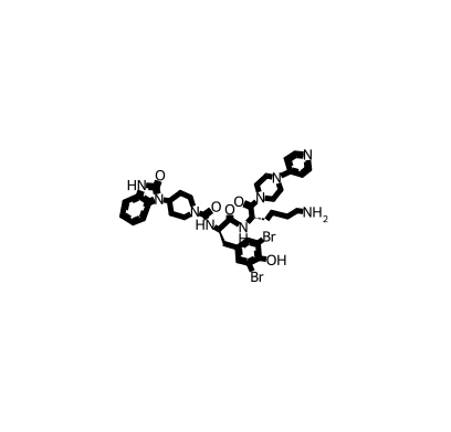 NCCCC[C@H](NC(=O)[C@@H](Cc1cc(Br)c(O)c(Br)c1)NC(=O)N1CCC(n2c(=O)[nH]c3ccccc32)CC1)C(=O)N1CCN(c2ccncc2)CC1